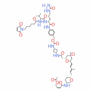 CC(=O)O[C@@H](C)/C=C\C(=O)N[C@@H]1C[C@H](C)[C@H](C/C=C(C)/C=C/[C@@H]2C[C@]3(CO3)C[C@@H](CC(=O)N[C@H]3C[C@H](NC(=O)OCc4ccc(NC(=O)[C@H](CCCNC(N)=O)NC(=O)[C@@H](NC(=O)CCCCCN5C(=O)C=CC5=O)C(C)C)cc4)C3)O2)O[C@@H]1C